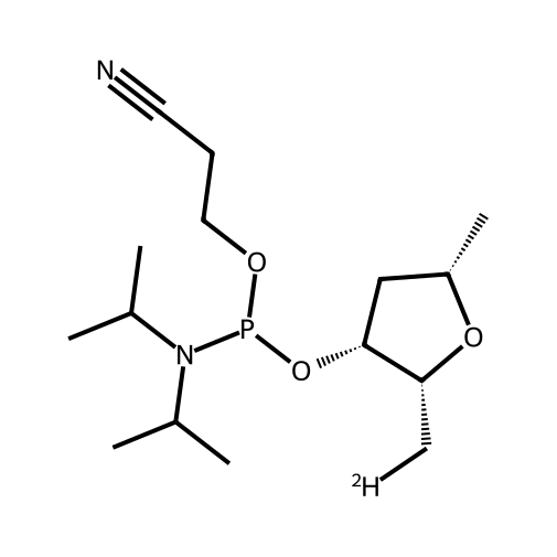 [2H]C[C@H]1O[C@@H](C)C[C@H]1OP(OCCC#N)N(C(C)C)C(C)C